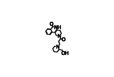 O=C(CCN1CCCCC1CO)N1CCc2[nH]c(=O)c3ccccc3c2C1